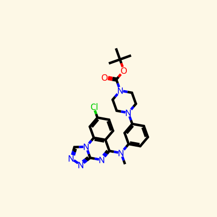 CN(c1cccc(N2CCN(C(=O)OC(C)(C)C)CC2)c1)c1nc2nncn2c2cc(Cl)ccc12